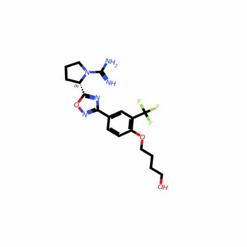 N=C(N)N1CCC[C@H]1c1nc(-c2ccc(OCCCCO)c(C(F)(F)F)c2)no1